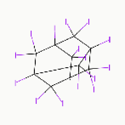 IC1(I)[C]2C(I)(I)C3(I)C(I)(I)C1(I)C(I)(I)C(I)(C2(I)I)C3(I)I